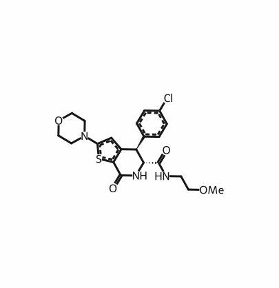 COCCNC(=O)[C@@H]1NC(=O)c2sc(N3CCOCC3)cc2[C@H]1c1ccc(Cl)cc1